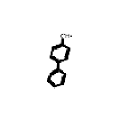 [CH]c1ccc(-c2ccccc2)cc1